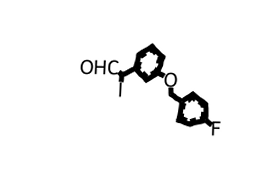 O=CC(I)c1cccc(OCc2ccc(F)cc2)c1